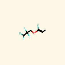 CC=C(F)OCC(F)(F)C(F)F